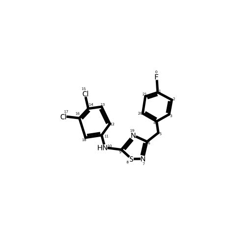 Fc1ccc(Cc2nsc(Nc3ccc(Cl)c(Cl)c3)n2)cc1